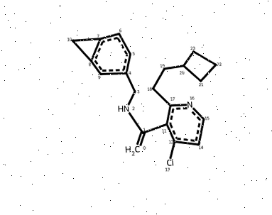 C=C(NCc1ccc2c(c1)C2)c1c(Cl)ccnc1CCC1CCC1